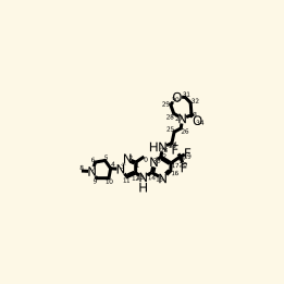 Cc1nn(C2CCN(C)CC2)cc1Nc1ncc(C(F)(F)F)c(NCCCN2CCOCCC2=O)n1